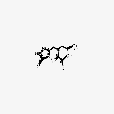 C=CCN(Cc1n[nH]c(=O)s1)C(=O)C(Cl)Cl